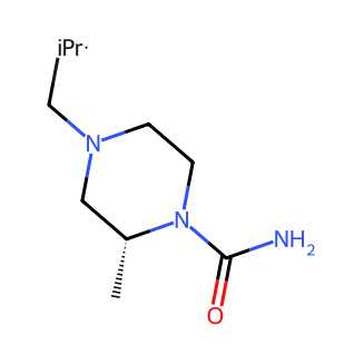 C[C](C)CN1CCN(C(N)=O)[C@H](C)C1